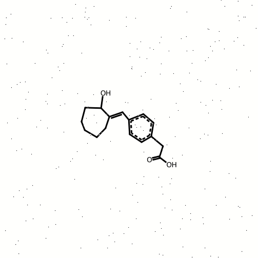 O=C(O)Cc1ccc(C=C2CCCCCC2O)cc1